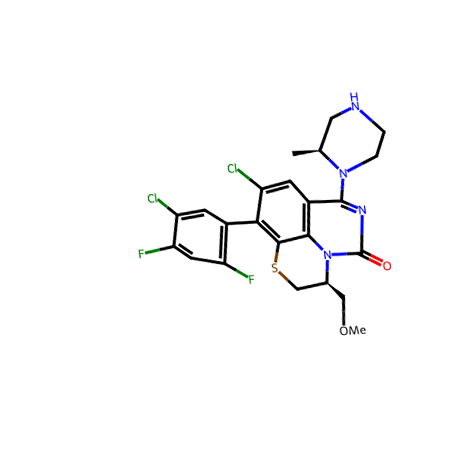 COC[C@H]1CSc2c(-c3cc(Cl)c(F)cc3F)c(Cl)cc3c(N4CCNC[C@@H]4C)nc(=O)n1c23